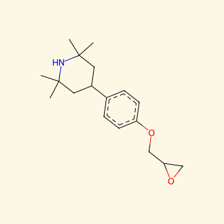 CC1(C)CC(c2ccc(OCC3CO3)cc2)CC(C)(C)N1